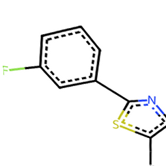 CC(C)c1cnc(-c2cccc(F)c2)s1